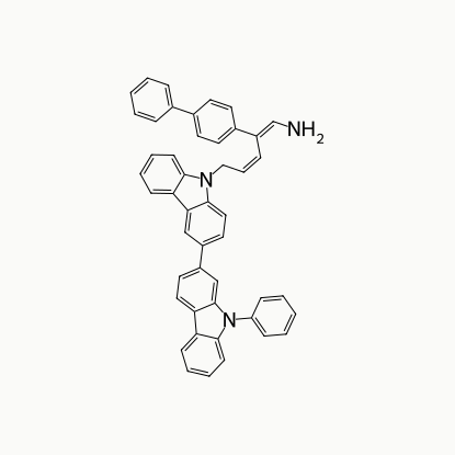 N/C=C(\C=C/Cn1c2ccccc2c2cc(-c3ccc4c5ccccc5n(-c5ccccc5)c4c3)ccc21)c1ccc(-c2ccccc2)cc1